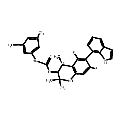 C[C@H]1c2c(cc(F)c(-c3cccc4cc[nH]c34)c2F)NC(C)(C)C1OC(=O)Nc1cc(C(F)(F)F)cc(C(F)(F)F)c1